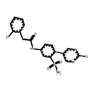 NS(=O)(=O)c1cc(NC(=O)Cc2ccccc2Cl)ccc1-c1cnc(Cl)nc1